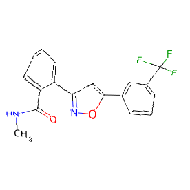 CNC(=O)c1ccccc1-c1cc(-c2cccc(C(F)(F)F)c2)on1